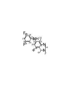 CCN(C)/C=N\c1cc(F)cc(Nc2cc(F)cc(F)c2)c1C